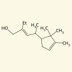 CC/C(=C\C(C)C1CC=C(C)C1(C)C)CO